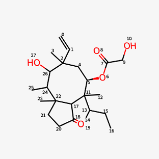 C=CC1(C)C[C@@H](OC(=O)CO)C(C)(C(C)CC)C2C(=O)CCC2(C)C(C)C1O